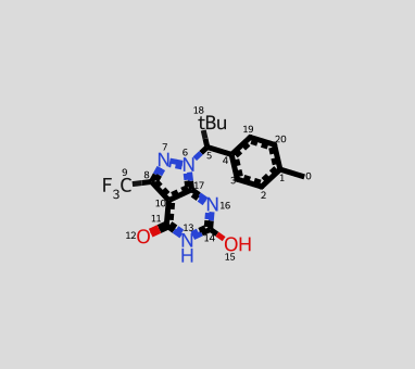 Cc1ccc(C(n2nc(C(F)(F)F)c3c(=O)[nH]c(O)nc32)C(C)(C)C)cc1